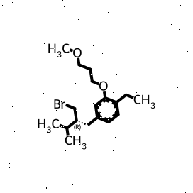 CCc1ccc(C[C@@H](CBr)C(C)C)cc1OCCCOC